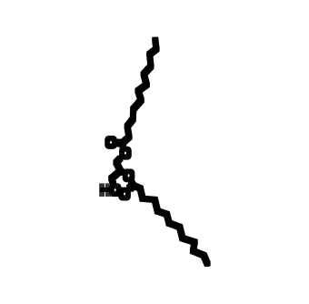 CCCCCCCCCCCCC(=O)OCC(CO)OC(=O)CCCCCCCCCCCC